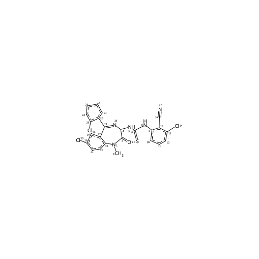 CN1C(=O)C(NC(=S)Nc2cccc(Cl)c2C#N)N=C(c2ccccc2Cl)c2cc(Cl)ccc21